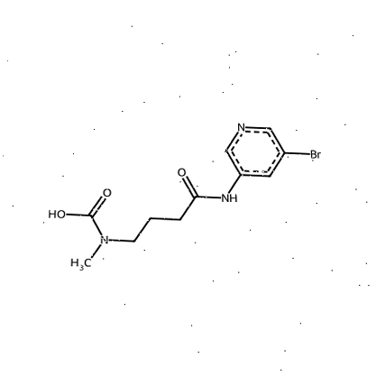 CN(CCCC(=O)Nc1cncc(Br)c1)C(=O)O